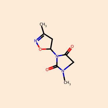 CC1=NOC(N2C(=O)CN(C)C2=O)C1